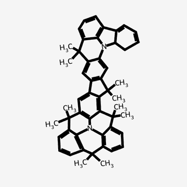 CC1(C)c2cccc3c2N2c4c1cccc4C(C)(C)c1c2c(cc2c1C(C)(C)c1cc4c(cc1-2)C(C)(C)c1cccc2c1N4C1CC=CC=C21)C3(C)C